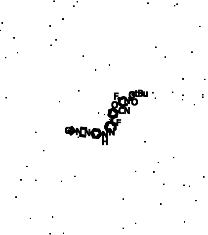 CC(C)(C)OC(=O)N1CCC(Oc2ccc(C3=C(F)C=NC(Nc4ccc(N5CCN(C6COC6)CC5)cc4)=C=C3)cc2C#N)C(F)C1